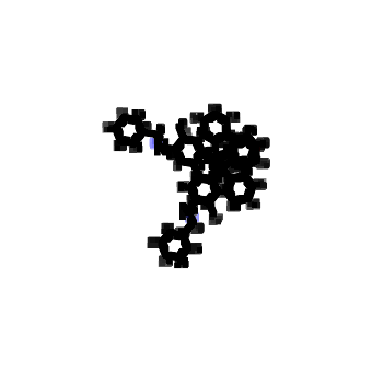 Cc1cc2c(cc1/N=C/c1ccccc1)-c1cc(/N=C/c3ccccc3)c(C)cc1[Si](c1ccccc1)(c1ccccc1)[Si]2(c1ccccc1)c1ccccc1